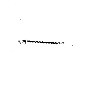 C=CC(=O)OCCCCCCCCCCCCCCCCCCCCCCCCCCCCCCCCC